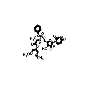 COCC(COC)OC(=O)[C@H](C)NP(=O)(OC[C@H]1O[C@@H](n2ccc(=O)[nH]c2=O)[C@@](F)(Cl)[C@@H]1O)Oc1ccccc1